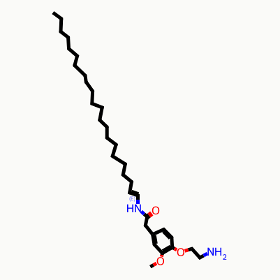 CCCCCCCCCCCCCCCCCCCC/C=C/NC(=O)Cc1ccc(OCCN)c(OC)c1